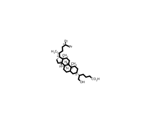 CC[C@H](CC[C@@H](C)[C@H]1CC[C@H]2[C@@H]3CCC4C[C@@H](C(CO)CCCC(=O)O)CC[C@]4(C)[C@H]3CC[C@]12C)C(C)C